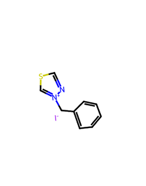 [I-].c1ccc(C[n+]2cscn2)cc1